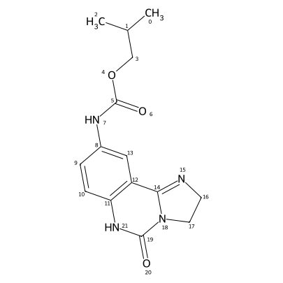 CC(C)COC(=O)Nc1ccc2c(c1)C1=NCCN1C(=O)N2